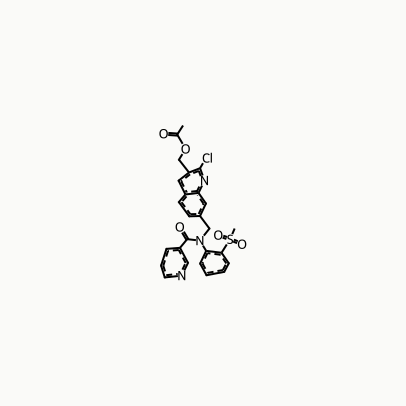 CC(=O)OCc1cc2ccc(CN(C(=O)c3cccnc3)c3ccccc3S(C)(=O)=O)cc2nc1Cl